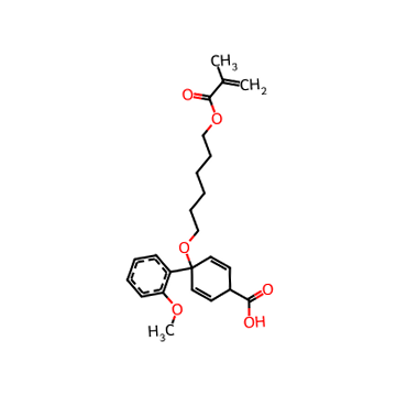 C=C(C)C(=O)OCCCCCCOC1(c2ccccc2OC)C=CC(C(=O)O)C=C1